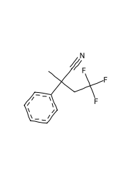 CC(C#N)(CC(F)(F)F)c1ccccc1